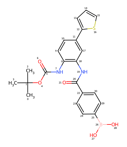 CC(C)(C)OC(=O)Nc1ccc(-c2cccs2)cc1NC(=O)c1ccc(B(O)O)cc1